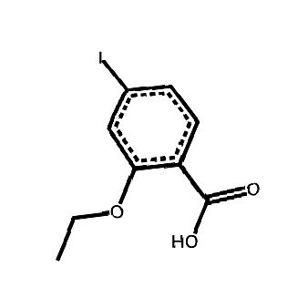 CCOc1cc(I)ccc1C(=O)O